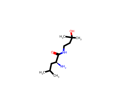 CC(C)C[C@H](N)C(=O)NCCC(C)(C)O